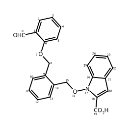 O=Cc1ccccc1OCc1ccccc1COn1c(C(=O)O)cc2ccccc21